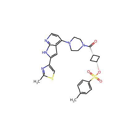 Cc1ccc(S(=O)(=O)O[C@H]2C[C@@H](C(=O)N3CCN(c4ccnc5[nH]c(-c6csc(C)n6)cc45)CC3)C2)cc1